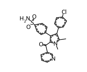 Cc1c(-c2ccc(Cl)cc2)c(-c2ccc(S(N)(=O)=O)cc2)c(C(=O)c2cccnc2)n1C